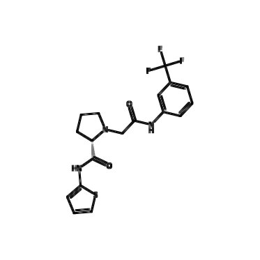 O=C(CN1CCC[C@H]1C(=O)Nc1cccs1)Nc1cccc(C(F)(F)F)c1